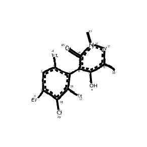 CCc1cc(CC)c(-c2c(O)c(C)nn(C)c2=O)c(CC)c1Cl